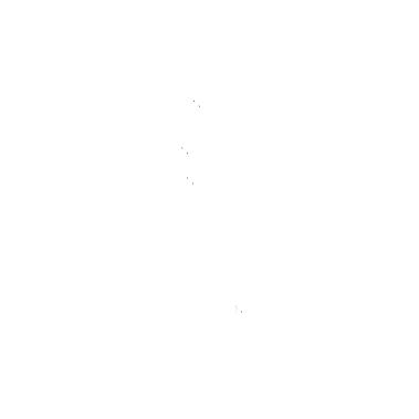 Nc1ccc(C2=NN3CCN=C3C=C2)cc1